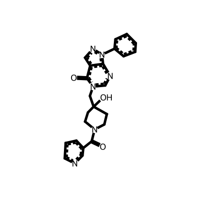 O=C(c1cccnc1)N1CCC(O)(Cn2cnc3c(cnn3-c3ccccc3)c2=O)CC1